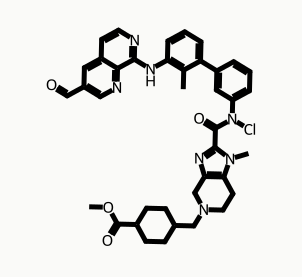 COC(=O)C1CCC(CN2CCc3c(nc(C(=O)N(Cl)c4cccc(-c5cccc(Nc6nccc7cc(C=O)cnc67)c5C)c4)n3C)C2)CC1